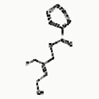 O=C(OC/C(=C/CO)CF)c1ccccc1